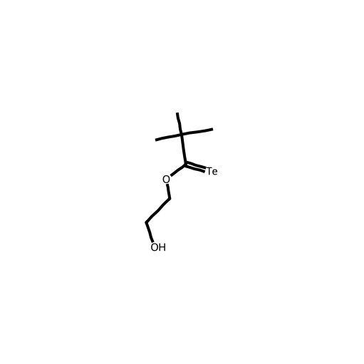 CC(C)(C)C(=[Te])OCCO